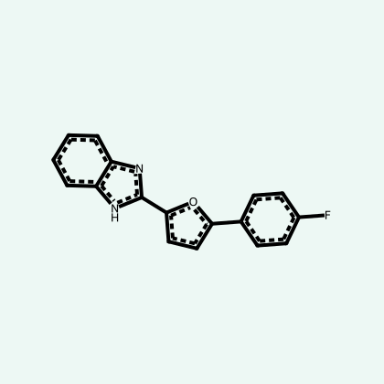 Fc1ccc(-c2ccc(-c3nc4ccccc4[nH]3)o2)cc1